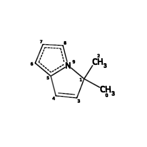 CC1(C)C=Cc2cccn21